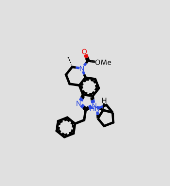 COC(=O)N1c2ccc3c(nc(Cc4ccccc4)n3[C@@H]3C4CCC3NC4)c2CC[C@@H]1C